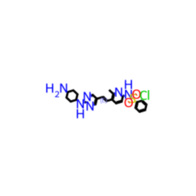 Cc1nc(NS(=O)(=O)c2ccccc2Cl)ccc1/C=C/c1cnc(N[C@H]2CC[C@H](N)CC2)nc1